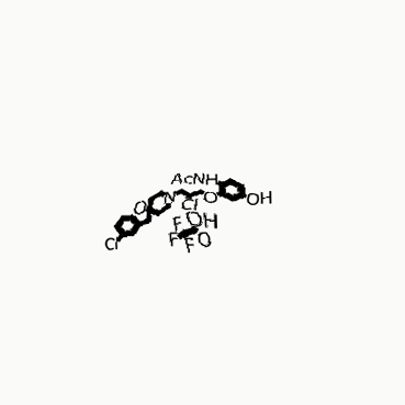 CC(=O)Nc1ccc(O)cc1OCC(Cl)CN1CCC2(CC1)Cc1cc(Cl)ccc1O2.O=C(O)C(F)(F)F